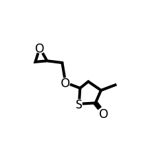 CC1CC(OCC2CO2)SC1=O